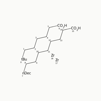 CC(C)(C)CCCCCC(=O)O.CCCCCCCCCCCCCCCCCC(=O)O.[Zr].[Zr]